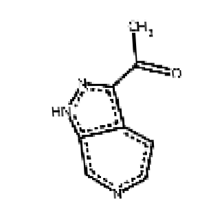 CC(=O)c1n[nH]c2cnccc12